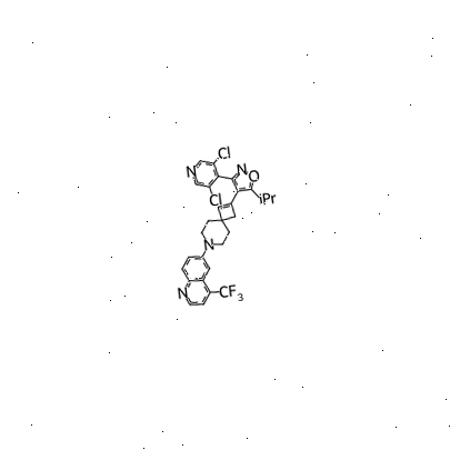 CC(C)c1onc(-c2c(Cl)cncc2Cl)c1C1=CC2(CCN(c3ccc4nccc(C(F)(F)F)c4c3)CC2)C1